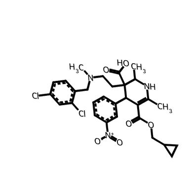 CC1=C(C(=O)OCC2CC2)C(c2cccc([N+](=O)[O-])c2)C(CCN(C)Cc2ccc(Cl)cc2Cl)(C(=O)O)C(C)N1